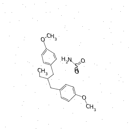 CCC(Cc1ccc(OC)cc1)Cc1ccc(OC)cc1.N[SH](=O)=O